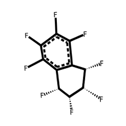 Fc1c(F)c(F)c2c(c1F)[C@@H](F)[C@@H](F)[C@@H](F)[C@H]2F